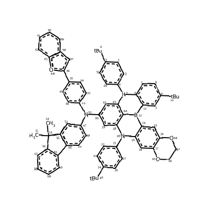 CC(C)(C)c1ccc(N2c3ccc(C(C)(C)C)cc3B3c4cc5c(cc4N(c4ccc(C(C)(C)C)cc4)c4cc(N(c6ccc(-c7cc8ccccc8o7)cc6)c6ccc7c(c6)C(C)(C)c6ccccc6-7)cc2c43)OCCO5)cc1